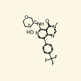 Cn1cnc2c(-c3ccc(C(F)(F)F)cc3)cnc(N[C@@H]3COCC[C@H]3O)c2c1=O